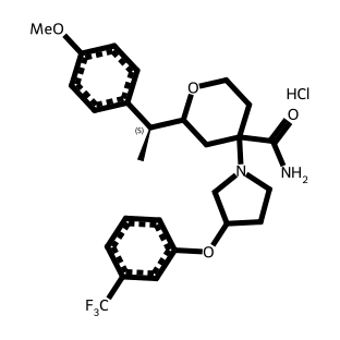 COc1ccc([C@H](C)C2CC(C(N)=O)(N3CCC(Oc4cccc(C(F)(F)F)c4)C3)CCO2)cc1.Cl